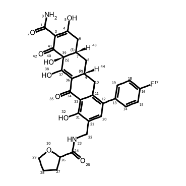 NC(=O)C1=C(O)C[C@@H]2C[C@@H]3Cc4c(-c5ccc(F)cc5)cc(CNC(=O)C5CCCO5)c(O)c4C(=O)C3=C(O)[C@]2(O)C1=O